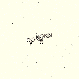 COc1ccc(-c2cc(=O)n3cc(N4CCN(C)CC4)ccc3n2)cc1F